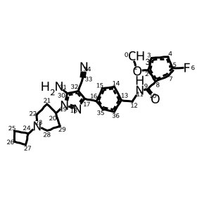 COc1ccc(F)cc1C(=O)NCc1ccc(-c2nn(C3CCN(C4CCC4)CC3)c(N)c2C#N)cc1